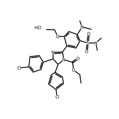 CCOC(=O)N1C(c2cc(S(=O)(=O)N(C)C)c(N(C)C)cc2OCC)=NC(c2ccc(Cl)cc2)C1c1ccc(Cl)cc1.Cl